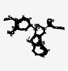 COC(=O)[C@@H]1Cc2c([nH]c3ccccc23)[C@@H](c2ccc(OC)c(OC)c2)N1